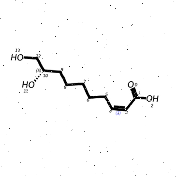 O=C(O)/C=C\CCCCC[C@H](O)CO